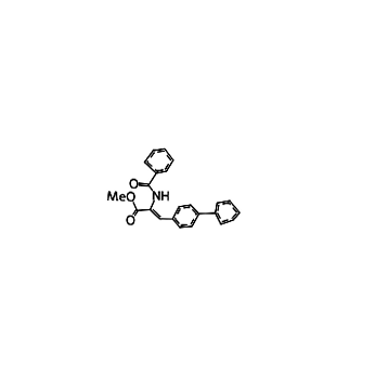 COC(=O)C(=Cc1ccc(-c2ccccc2)cc1)NC(=O)c1ccccc1